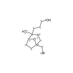 CC1(CCCO)OCC2(CBr)CCC1O2